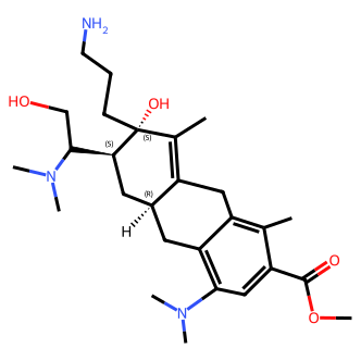 COC(=O)c1cc(N(C)C)c2c(c1C)CC1=C(C)[C@](O)(CCCN)[C@H](C(CO)N(C)C)C[C@@H]1C2